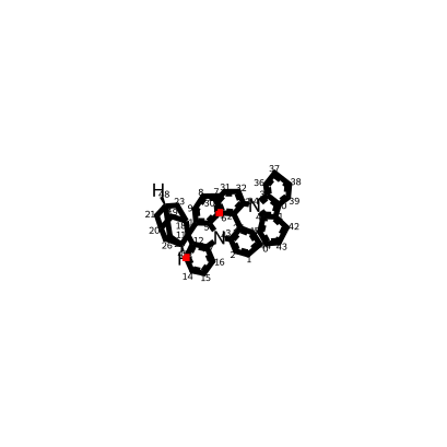 c1ccc(N2c3ccccc3C3(c4ccccc42)C2CC4C[C@H](C2)C[C@H]3C4)c(-c2ccccc2-n2c3ccccc3c3ccccc32)c1